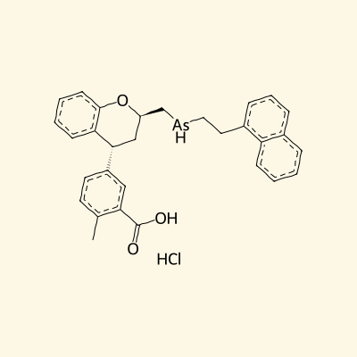 Cc1ccc([C@H]2C[C@H](C[AsH]CCc3cccc4ccccc34)Oc3ccccc32)cc1C(=O)O.Cl